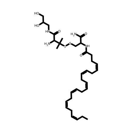 CC/C=C\C/C=C\C/C=C\C/C=C\C/C=C\C/C=C\CCC(=O)NC(CSSC(C)(C)C(N)C(=O)NCC(O)CO)C(N)=O